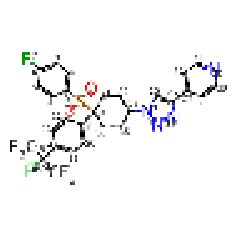 O=S(=O)(c1ccc(F)cc1)C1(c2ccc(C(F)(C(F)(F)F)C(F)(F)F)cc2)CCC(n2cc(-c3ccncc3)nn2)CC1